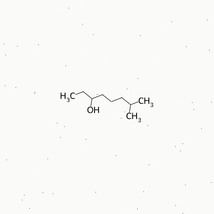 CCC(O)CCCC(C)C